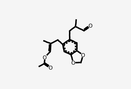 CC(=O)OC=C(C)Cc1cc2c(cc1CC(C)C=O)OCO2